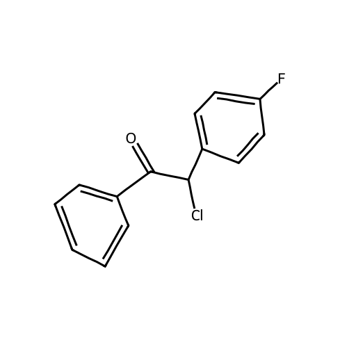 O=C(c1ccccc1)C(Cl)c1ccc(F)cc1